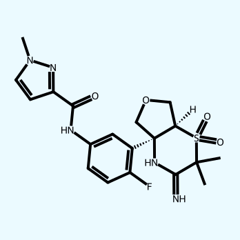 Cn1ccc(C(=O)Nc2ccc(F)c([C@]34COC[C@H]3S(=O)(=O)C(C)(C)C(=N)N4)c2)n1